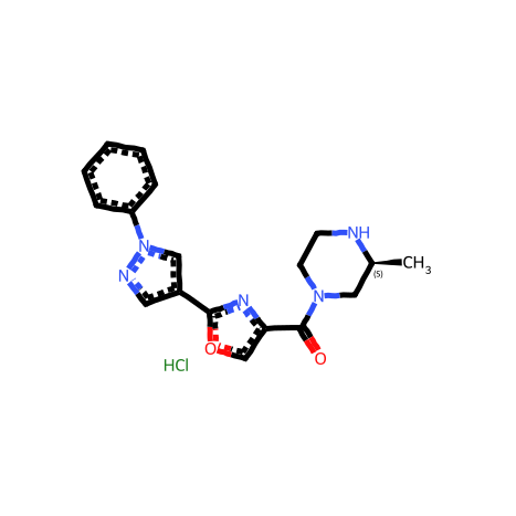 C[C@H]1CN(C(=O)c2coc(-c3cnn(-c4ccccc4)c3)n2)CCN1.Cl